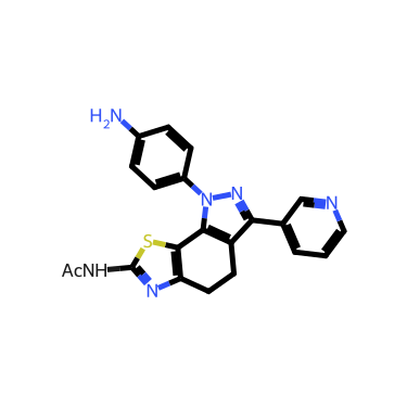 CC(=O)Nc1nc2c(s1)-c1c(c(-c3cccnc3)nn1-c1ccc(N)cc1)CC2